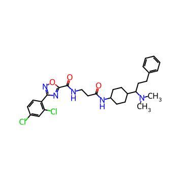 CN(C)C(CCc1ccccc1)C1CCC(NC(=O)CCNC(=O)c2nc(-c3ccc(Cl)cc3Cl)no2)CC1